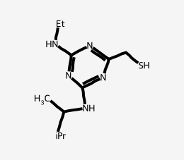 CCNc1nc(CS)nc(NC(C)C(C)C)n1